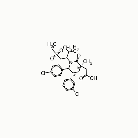 CCS(=O)(=O)CC(C(C)C)N1C(=O)[C@@](C)(CC(=O)O)C[C@H](c2cccc(Cl)c2)C1c1ccc(Cl)cc1